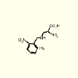 Cl.NC(CNCc1ccccc1[N+](=O)[O-])C(=O)O